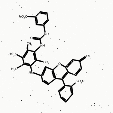 C=c1ccc2c(c1)Oc1cc(Nc3c(C)c(NC(=O)Nc4cccc(C(=O)O)c4)c(C)c(S(=O)(=O)O)c3C)ccc1C=2c1ccccc1S(=O)(=O)O